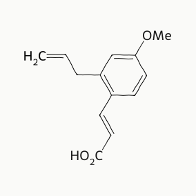 C=CCc1cc(OC)ccc1/C=C/C(=O)O